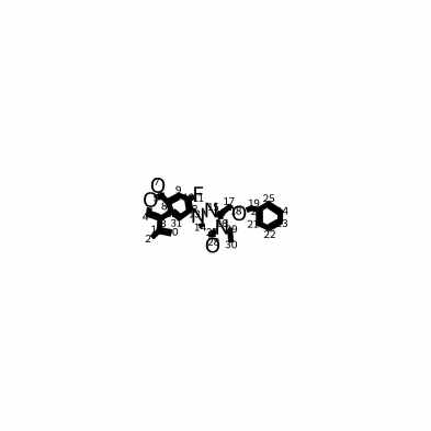 C=C(C)c1coc(=O)c2cc(F)c(N(C)/N=C(/COCc3ccccc3)N(C=O)CC)cc12